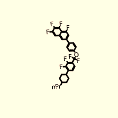 CCCC1CCC(c2ccc(C(F)(F)Oc3ccc(-c4cc(F)c5c(F)c(F)c(F)cc5c4)cc3)c(F)c2F)CC1